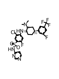 CN(C)[C@H]1C[C@@H](c2cc(F)cc(C(F)(F)F)c2)CC[C@@H]1Nc1cc(F)c(S(=O)(=O)Nc2ccncn2)cc1Cl